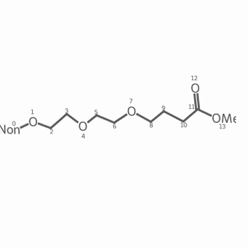 CCCCCCCCCOCCOCCOCCCC(=O)OC